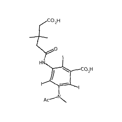 CC(=O)N(C)c1c(I)c(NC(=O)CC(C)(C)CC(=O)O)c(I)c(C(=O)O)c1I